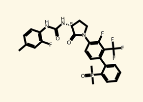 Cc1ccc(NC(=O)N[C@@H]2CCN(c3ccc(-c4ccccc4P(C)(C)=O)c(C(F)(F)F)c3F)C2=O)c(F)c1